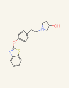 OC1CCN(CCc2ccc(Oc3nc4ccccc4s3)cc2)C1